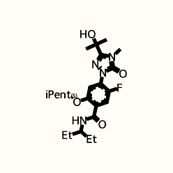 CCC[C@H](C)Oc1cc(-n2nc(C(C)(C)O)n(C)c2=O)c(F)cc1C(=O)NC(CC)CC